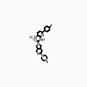 CN1CCN(c2cc3c(cn2)CN(C(=O)Nc2nc(-c4ccc(F)cc4)ccc2N)C3)CC1